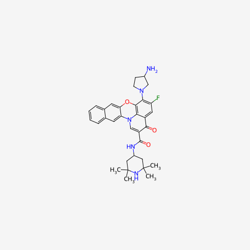 CC1(C)CC(NC(=O)c2cn3c4c(c(N5CCC(N)C5)c(F)cc4c2=O)Oc2cc4ccccc4cc2-3)CC(C)(C)N1